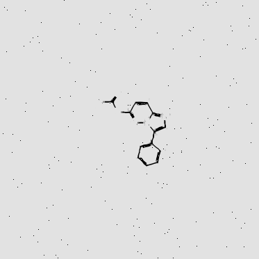 NC(=O)Oc1ccc2ncc(-c3ccccc3)n2n1